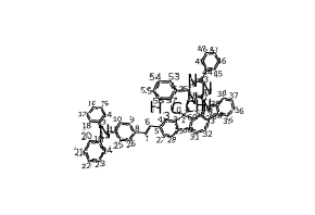 CC1(C)c2cc(/C=C/c3ccc(N(c4ccccc4)c4ccccc4)cc3)ccc2-c2ccc3c4ccccc4n(-c4nc(-c5ccccc5)nc(-c5ccccc5)n4)c3c21